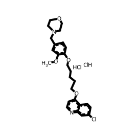 COc1cc(CN2CCOCC2)ccc1OCCCCCOc1ccnc2cc(Cl)ccc12.Cl.Cl